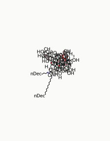 CCCCCCCCCCCCC/C=C/[C@@H](O)[C@H](CO[C@@H]1OC(CO)[C@@H](O[C@@H]2OC(CO)[C@H](O)[C@H](O[C@@H]3OC(CO)[C@@H](O[C@@H]4OC(CO)[C@H](O)[C@H](O[C@@H]5OC(CO)[C@@H](O[C@@H]6OC(CO)[C@H](O)[C@H](O)C6O[C@H]6OC(C)[C@@H](O)C(O)[C@@H]6O)[C@H](O[C@H]6OC(C)[C@@H](O)C(O)[C@@H]6O)C5NC(C)=O)C4O)[C@H](O[C@H]4OC(C)[C@@H](O)C(O)[C@@H]4O)C3NC(C)=O)C2O)[C@H](O)C1O)NC(=O)CCCCCCCCCCCCCCCCCCCCC